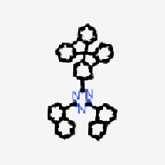 c1ccc2c(c1)-c1ccccc1C21c2ccccc2-c2cc(-c3nc(-c4cccc5ccccc45)nc(-c4cccc5ccccc45)n3)ccc21